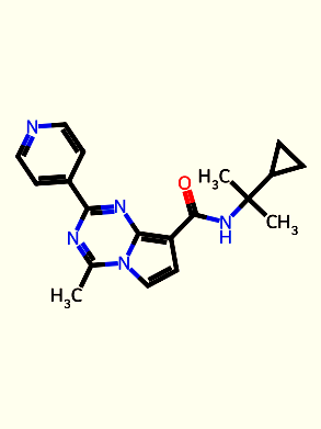 Cc1nc(-c2ccncc2)nc2c(C(=O)NC(C)(C)C3CC3)ccn12